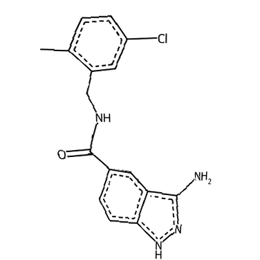 Cc1ccc(Cl)cc1CNC(=O)c1ccc2[nH]nc(N)c2c1